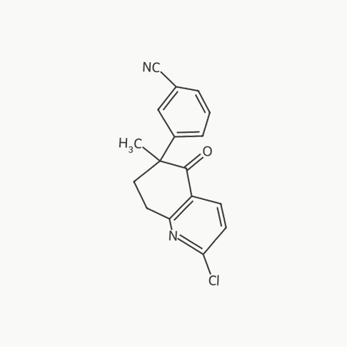 CC1(c2cccc(C#N)c2)CCc2nc(Cl)ccc2C1=O